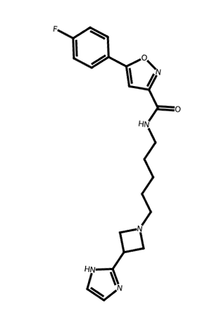 O=C(NCCCCCN1CC(c2ncc[nH]2)C1)c1cc(-c2ccc(F)cc2)on1